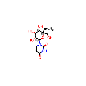 C=C[C@]1(CO)O[C@@H](n2ccc(=O)[nH]c2=O)[C@H](O)[C@@H](O)[C@@H]1O